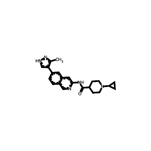 Cc1n[nH]cc1-c1ccc2cnc(NC(=O)C3CCN(C4CC4)CC3)cc2c1